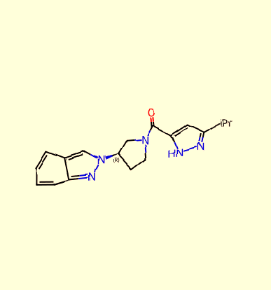 CC(C)c1cc(C(=O)N2CC[C@@H](n3cc4ccccc4n3)C2)[nH]n1